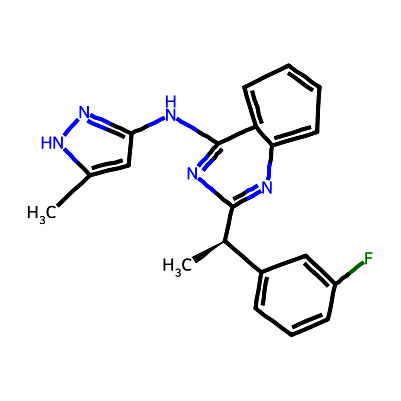 Cc1cc(Nc2nc([C@H](C)c3cccc(F)c3)nc3ccccc23)n[nH]1